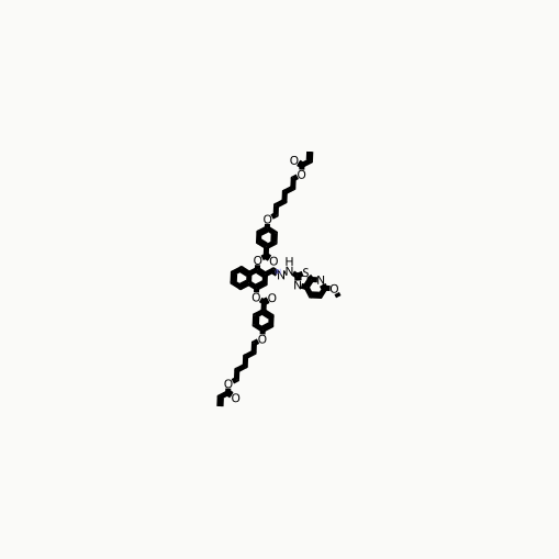 C=CC(=O)OCCCCCCOc1ccc(C(=O)Oc2cc(/C=N/Nc3nc4ccc(OC)nc4s3)c(OC(=O)c3ccc(OCCCCCCOC(=O)C=C)cc3)c3ccccc23)cc1